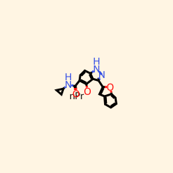 CCCOc1c(C(=O)NC2CC2)ccc2[nH]nc(-c3cc4ccccc4o3)c12